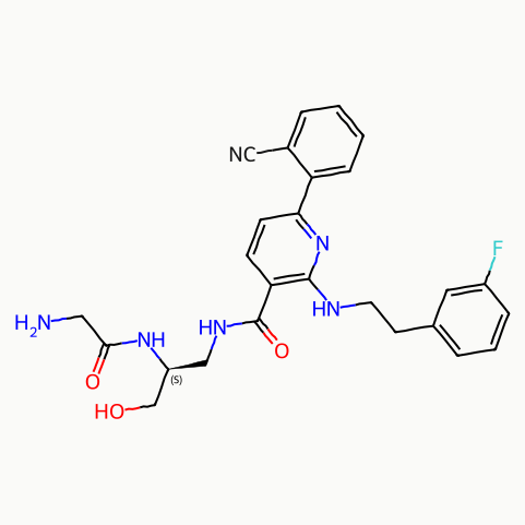 N#Cc1ccccc1-c1ccc(C(=O)NC[C@@H](CO)NC(=O)CN)c(NCCc2cccc(F)c2)n1